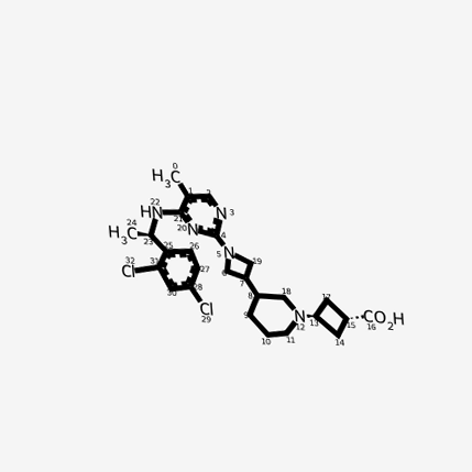 Cc1cnc(N2CC(C3CCCN([C@H]4C[C@@H](C(=O)O)C4)C3)C2)nc1N[C@H](C)c1ccc(Cl)cc1Cl